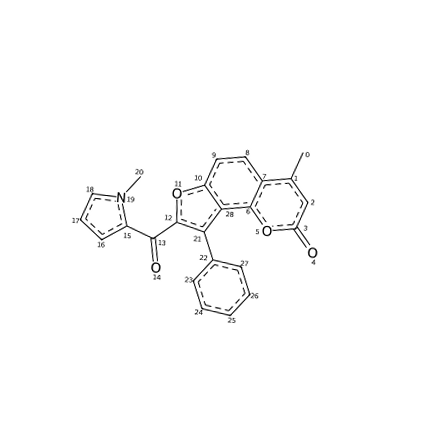 Cc1cc(=O)oc2c1ccc1oc(C(=O)c3cccn3C)c(-c3ccccc3)c12